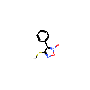 CCCCCCSc1no[n+]([O-])c1-c1ccccc1